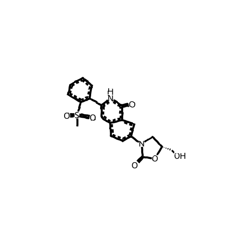 CS(=O)(=O)c1ccccc1-c1cc2ccc(N3C[C@H](CO)OC3=O)cc2c(=O)[nH]1